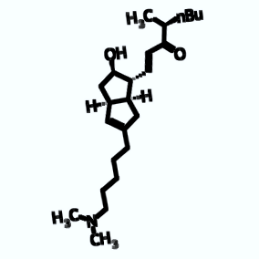 CCCC[C@H](C)C(=O)/C=C/[C@@H]1[C@H]2CC(CCCCCN(C)C)=C[C@H]2C[C@H]1O